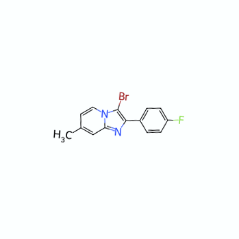 Cc1ccn2c(Br)c(-c3ccc(F)cc3)nc2c1